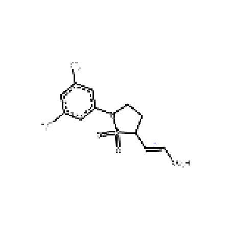 O=C(O)/C=C/C1CCN(c2cc(C(F)(F)F)cc(C(F)(F)F)c2)S1(=O)=O